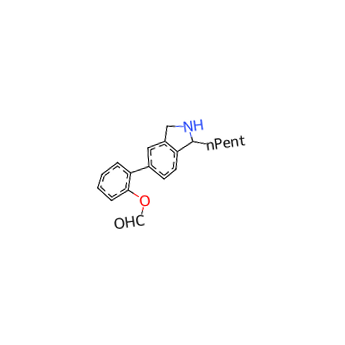 CCCCCC1NCc2cc(-c3ccccc3OC=O)ccc21